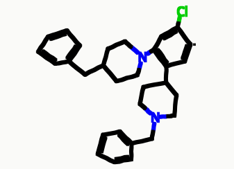 Clc1[c]cc(C2CCN(Cc3ccccc3)CC2)c(N2CCC(Cc3ccccc3)CC2)c1